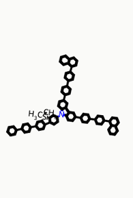 C[Si]1(C)c2cc(-c3ccc(-c4ccccc4)cc3)ccc2-c2ccc(-n3c4ccc(-c5ccc(-c6ccc(-c7cccc8ccccc78)cc6)cc5)cc4c4cc(-c5ccc(-c6ccc(-c7cccc8ccccc78)cc6)cc5)ccc43)cc21